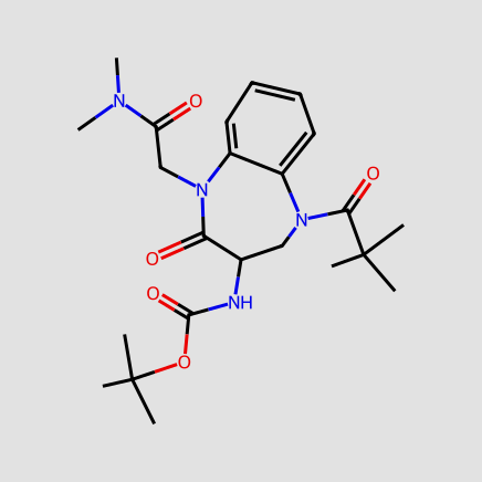 CN(C)C(=O)CN1C(=O)C(NC(=O)OC(C)(C)C)CN(C(=O)C(C)(C)C)c2ccccc21